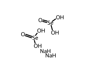 O=[Se](O)O.O=[Se](O)O.[NaH].[NaH]